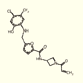 C=CC(=O)N1CC(NC(=O)c2ccc(CNc3cc(C(F)(F)F)c(Cl)cc3O)o2)C1